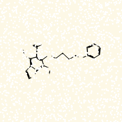 COc1c(C(C)=O)c(OCCCCOc2ccccc2)c(OC)c2occc12